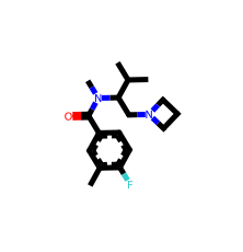 Cc1cc(C(=O)N(C)C(CN2CCC2)C(C)C)ccc1F